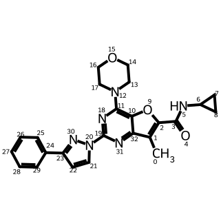 Cc1c(C(=O)NC2CC2)oc2c(N3CCOCC3)nc(-n3ccc(-c4ccccc4)n3)nc12